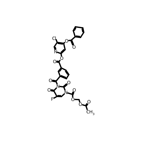 CC(=O)OCOC(=O)n1cc(F)c(=O)n(C(=O)c2cccc(C(=O)Oc3cc(OC(=O)c4ccccc4)c(Cl)cn3)c2)c1=O